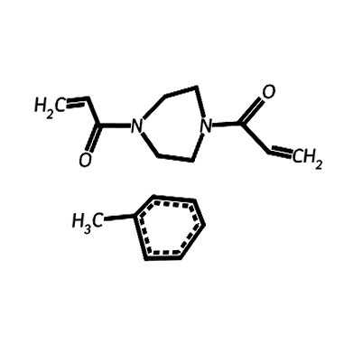 C=CC(=O)N1CCN(C(=O)C=C)CC1.Cc1ccccc1